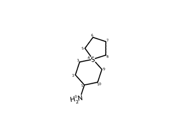 NC1CCS2(CCCC2)CC1